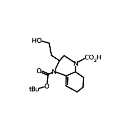 CC(C)(C)OC(=O)N1C2=CCCCC2N(C(=O)O)CC1CCO